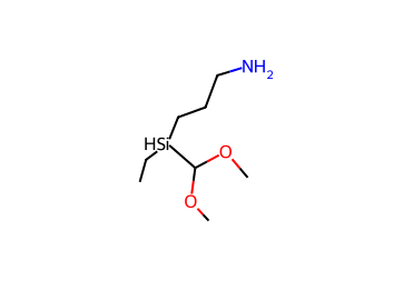 CC[SiH](CCCN)C(OC)OC